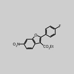 CCOC(=O)c1c(-c2ccc(F)cc2)oc2cc([N+](=O)[O-])ccc12